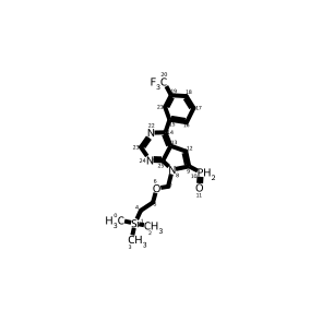 C[Si](C)(C)CCOCn1c([PH2]=O)cc2c(-c3cccc(C(F)(F)F)c3)ncnc21